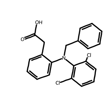 O=C(O)Cc1ccccc1N(Cc1ccccc1)c1c(Cl)cccc1Cl